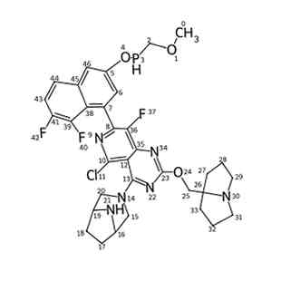 COCPOc1cc(-c2nc(Cl)c3c(N4CC5CCC(C4)N5)nc(OCC45CCCN4CCC5)nc3c2F)c2c(F)c(F)ccc2c1